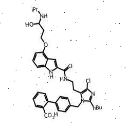 CCCCc1nc(Cl)c(CCNC(=O)c2cc3c(OCCC(O)NC(C)C)cccc3[nH]2)n1Cc1ccc(-c2ccccc2C(=O)O)cc1